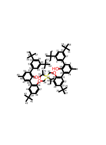 Cc1cc(-c2cc(C(C)(C)C)cc(C(C)(C)C)c2)c(O)c(-c2cc(C(C)(C)C)ccc2OCS(COc2ccc(C(C)(C)C)cc2-c2cc(C)cc(-c3cc(C(C)(C)C)cc(C(C)(C)C)c3)c2O)(C(C)C)C(C)C)c1